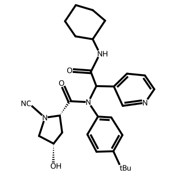 CC(C)(C)c1ccc(N(C(=O)[C@@H]2C[C@H](O)CN2C#N)C(C(=O)NC2CCCCC2)c2cccnc2)cc1